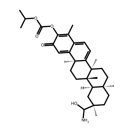 CC1=C(OC(=O)OC(C)C)C(=O)C=C2C1=CC=C1[C@@]2(C)CC[C@@]2(C)[C@@H]3C[C@](C)(C(N)O)CC[C@]3(C)CC[C@]12C